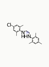 Cc1cc(C)c(N/C=C\Nc2c(C)cc(Cl)cc2C)c(C)c1